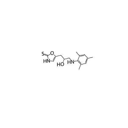 Cc1cc(C)c(NCC(O)Cc2c[nH]c(=S)o2)c(C)c1